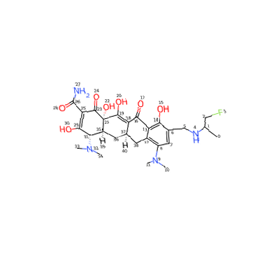 CC(CF)NCc1cc(N(C)C)c2c(c1O)C(=O)C1=C(O)[C@]3(O)C(=O)C(C(N)=O)=C(O)[C@@H](N(C)C)[C@@H]3C[C@@H]1C2